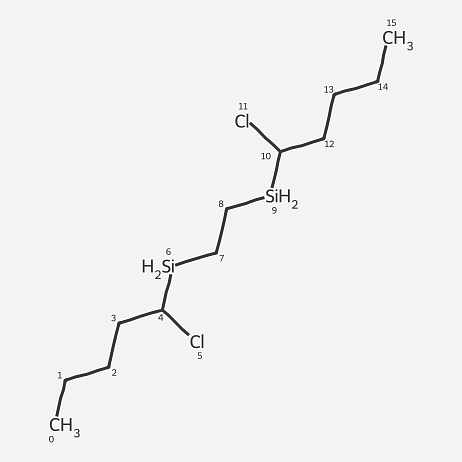 CCCCC(Cl)[SiH2]CC[SiH2]C(Cl)CCCC